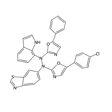 Clc1ccc(-c2cnc(N(c3ccc4ncsc4c3)N(c3ncc(-c4ccccc4)o3)c3cccc4cc[nH]c34)o2)cc1